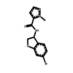 Cn1nccc1C(=O)NC1COc2cc(Br)ccc21